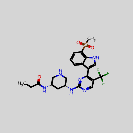 CCC(=O)N[C@@H]1CNC[C@H](Nc2ncc(C(F)(F)F)c(-c3c[nH]c4c(S(C)(=O)=O)cccc34)n2)C1